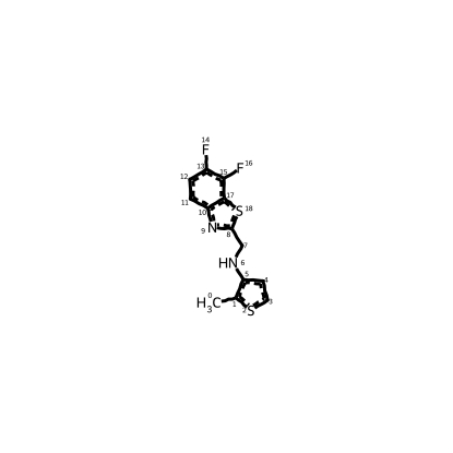 Cc1sccc1NCc1nc2ccc(F)c(F)c2s1